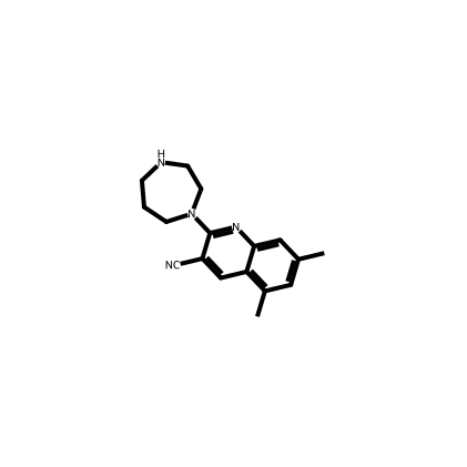 Cc1cc(C)c2cc(C#N)c(N3CCCNCC3)nc2c1